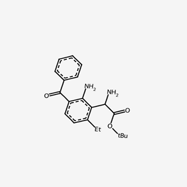 CCc1ccc(C(=O)c2ccccc2)c(N)c1C(N)C(=O)OC(C)(C)C